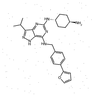 CC(C)c1n[nH]c2c(NCc3ccc(-c4ccco4)cc3)nc(N[C@H]3CC[C@H](N)CC3)nc12